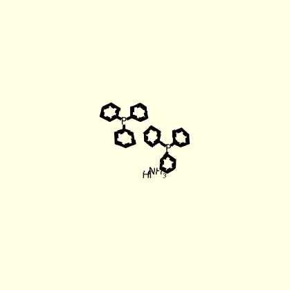 I.N.c1ccc(P(c2ccccc2)c2ccccc2)cc1.c1ccc(P(c2ccccc2)c2ccccc2)cc1